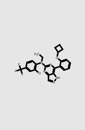 CCN(c1nc(-c2ccccc2OC2CCC2)c2[nH]ncc2n1)c1ccc(C(F)(F)F)cc1Cl